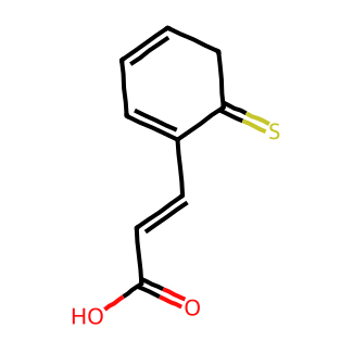 O=C(O)C=CC1=CC=CCC1=S